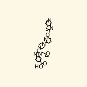 O=C(O)c1ccc2nc(CN3CCN(c4cccc(OCc5nc6cnccc6s5)n4)CC3)n(CC3CCO3)c2c1